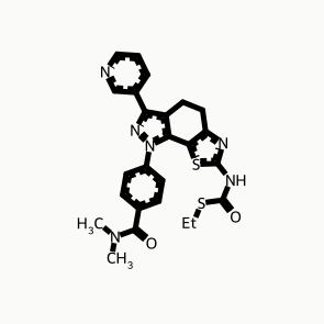 CCSC(=O)Nc1nc2c(s1)-c1c(c(-c3cccnc3)nn1-c1ccc(C(=O)N(C)C)cc1)CC2